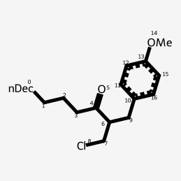 CCCCCCCCCCCCCC(=O)C(CCl)Cc1ccc(OC)cc1